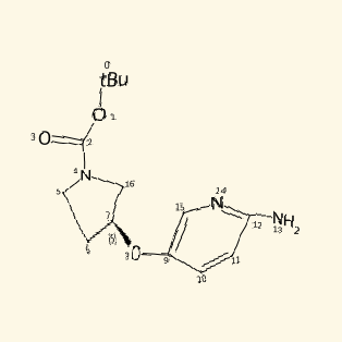 CC(C)(C)OC(=O)N1CC[C@H](Oc2ccc(N)nc2)C1